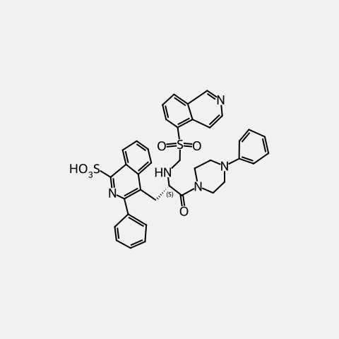 O=C([C@H](Cc1c(-c2ccccc2)nc(S(=O)(=O)O)c2ccccc12)NCS(=O)(=O)c1cccc2cnccc12)N1CCN(c2ccccc2)CC1